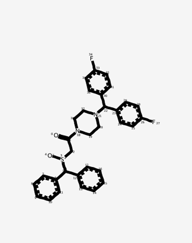 O=C(C[S+]([O-])C(c1ccccc1)c1ccccc1)N1CCN(C(c2ccc(F)cc2)c2ccc(F)cc2)CC1